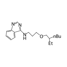 CCCCC(CC)COCCCNc1ncnc2ccccc12